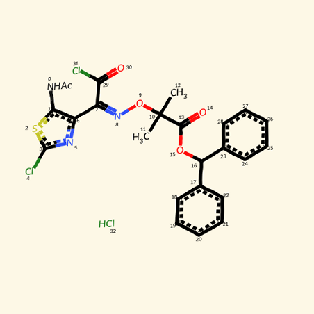 CC(=O)Nc1sc(Cl)nc1C(=NOC(C)(C)C(=O)OC(c1ccccc1)c1ccccc1)C(=O)Cl.Cl